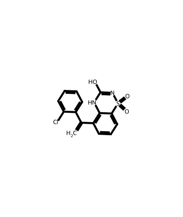 C=C(c1ccccc1Cl)c1cccc2c1NC(O)=NS2(=O)=O